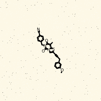 COc1cccc(CC#Cc2cn3c(=O)n(Cc4ccc(C#N)cc4)c(=O)c(C)c3s2)c1